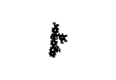 Cc1cc(CC(OC(=O)N2CCC(N3CCc4ccccc4NC3=O)CC2)C(=O)N2CCC(N(C)C)CC2)cc(C)c1C